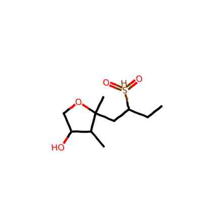 CCC(CC1(C)OCC(O)C1C)[SH](=O)=O